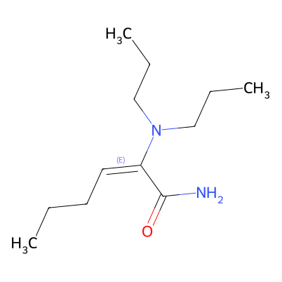 CCC/C=C(\C(N)=O)N(CCC)CCC